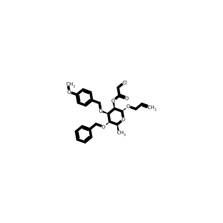 C=CCO[C@@H]1O[C@@H](C)[C@H](OCc2ccccc2)[C@@H](OCc2ccc(OC)cc2)[C@H]1OC(=O)CCl